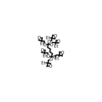 CCC1(COC(CCCCC(OCC2(CC)COC2)(OCC2(CC)COC2)OCC2(CC)COC2)(OCC2(CC)COC2)OCC2(CC)COC2)COC1